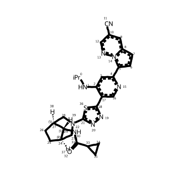 CC(C)Nc1cc(-c2ccc3cc(C#N)cnn23)ncc1-c1nnc(N2C[C@H]3CC[C@@H](C2)[C@@H]3NC(=O)C2CC2)s1